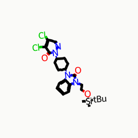 CC(C)(C)[Si](C)(C)OCCn1c(=O)n([C@H]2CC[C@H](n3ncc(Cl)c(Cl)c3=O)CC2)c2ccccc21